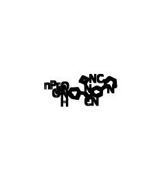 CCCS(=O)(=O)Nc1ccc(-c2c(C#N)c3ccc(-c4ncccc4C#N)cc3n2C2CCC2)cc1